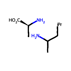 CC(C)CC(C)N.C[C@H](N)C(=O)O